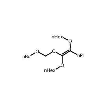 CCCCCCOC(CCC)=C(OCCCCCC)OCOCCCC